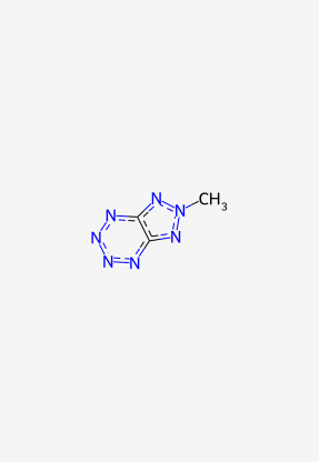 Cn1nc2nnnnc2n1